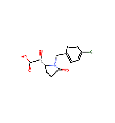 O=C(O)C(=O)[C@H]1CCC(=O)N1Cc1ccc(Cl)cc1